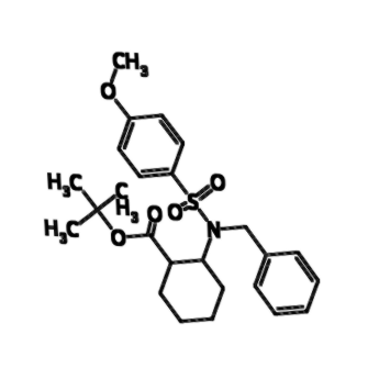 COc1ccc(S(=O)(=O)N(Cc2ccccc2)C2CCCCC2C(=O)OC(C)(C)C)cc1